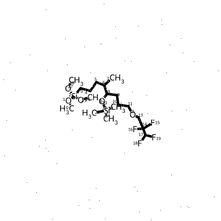 CO[Si](CCCC(C)C(CCCOCC(F)(F)C(F)F)O[Si](C)(C)C)(OC)OC